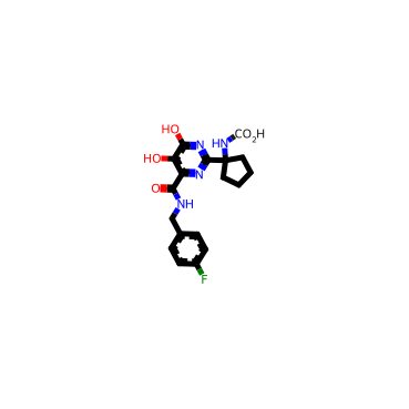 O=C(O)NC1(c2nc(O)c(O)c(C(=O)NCc3ccc(F)cc3)n2)CCCC1